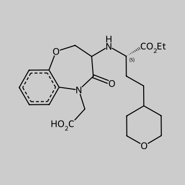 CCOC(=O)[C@H](CCC1CCOCC1)NC1COc2ccccc2N(CC(=O)O)C1=O